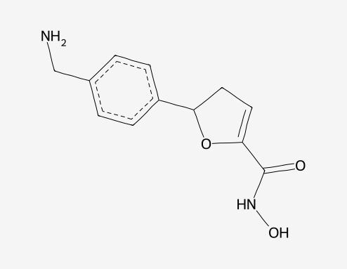 NCc1ccc(C2CC=C(C(=O)NO)O2)cc1